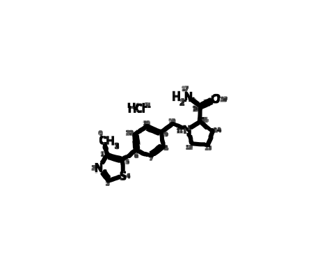 Cc1ncsc1-c1ccc(CN2CCCC2C(N)=O)cc1.Cl